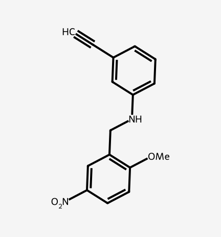 C#Cc1cccc(NCc2cc([N+](=O)[O-])ccc2OC)c1